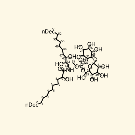 CCCCCCCCCCCCCCCCCCC(O)C(=O)N[C@@H](COP(=O)(O)O[C@H]1C(O)C(O)C(O)[C@@H](O)C1O[C@H]1O[C@H](CO)[C@@H](O)C(O)C1O)[C@H](O)[C@H](O)CCCCCCCCCCCCCCCC